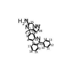 CC1(c2cccc(N=C(c3ccccc3)c3ccccc3)c2)N=C(N)Cn2nccc21